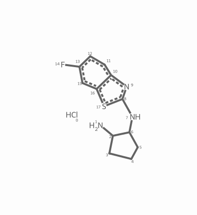 Cl.NC1CCCC1Nc1nc2ccc(F)cc2s1